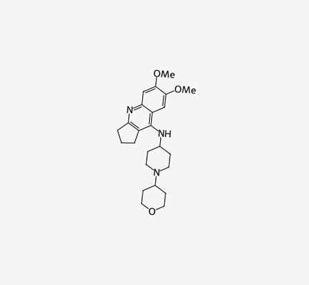 COc1cc2nc3c(c(NC4CCN(C5CCOCC5)CC4)c2cc1OC)CCC3